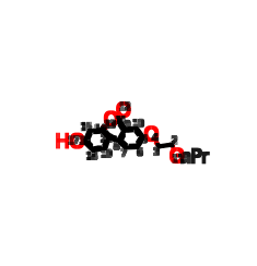 CCCOCCOc1ccc2c(c1)c(=O)oc1cc(O)ccc12